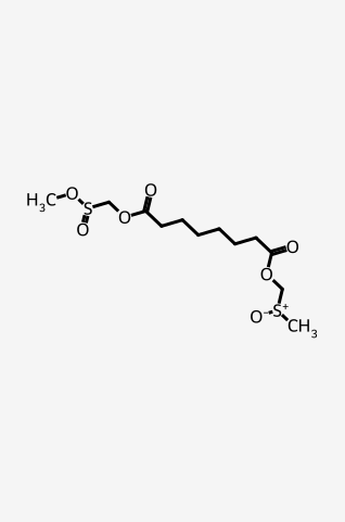 COS(=O)COC(=O)CCCCCCC(=O)OC[S+](C)[O-]